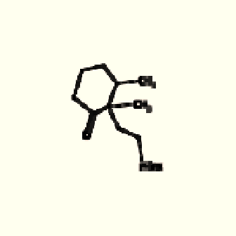 CCCCCCCCC1(C)C(=O)CCCC1C